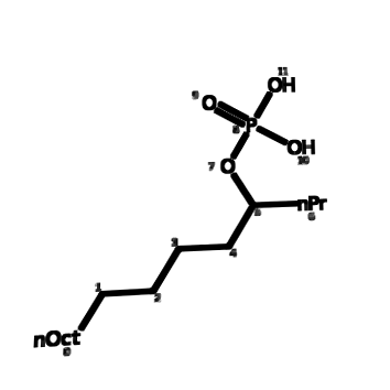 CCCCCCCCCCCCC(CCC)OP(=O)(O)O